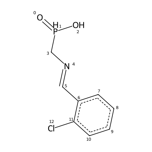 O=[PH](O)CN=Cc1ccccc1Cl